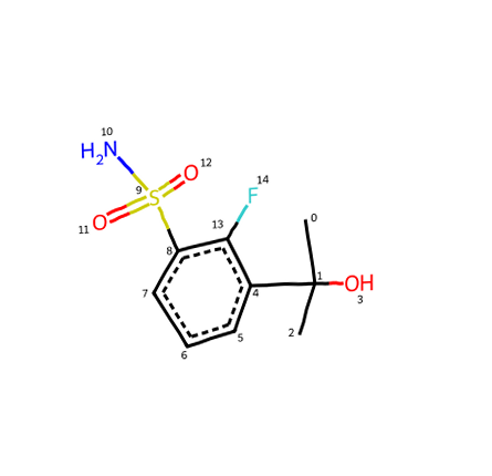 CC(C)(O)c1cccc(S(N)(=O)=O)c1F